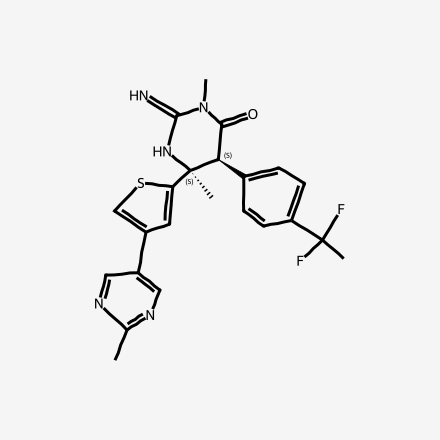 Cc1ncc(-c2csc([C@@]3(C)NC(=N)N(C)C(=O)[C@H]3c3ccc(C(C)(F)F)cc3)c2)cn1